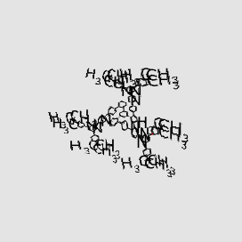 CC(C)(C)c1ccc(-c2cc(-c3ccc(C(C)(C)C)cc3)nc(-c3ccc(-c4ccc(-c5ccccc5-c5cc(-c6ccccc6-c6ccc(-c7ccc(-c8nc(-c9ccc(C(C)(C)C)cc9)cc(-c9ccc(C(C)(C)C)cc9)n8)cn7)cc6)cc(-c6ccccc6-c6ccc(-c7ccc(-c8nc(-c9ccc(C(C)(C)C)cc9)cc(-c9ccc(C(C)(C)C)cc9)n8)cn7)cc6)c5)cc4)nc3)n2)cc1